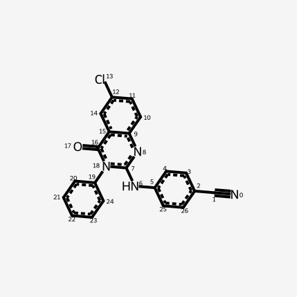 N#Cc1ccc(Nc2nc3ccc(Cl)cc3c(=O)n2-c2ccccc2)cc1